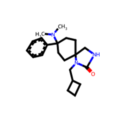 CN(C)C1(c2ccccc2)CCC2(CC1)CNC(=O)N2CC1CCC1